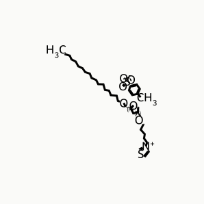 CCCCCCCCCCCCCCCCCCOC[C@H]1C[C@H](COCCCCC[n+]2ccsc2)CO1.Cc1ccc(S(=O)(=O)[O-])cc1